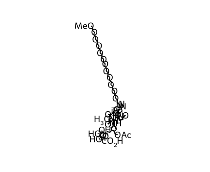 COCCOCCOCCOCCOCCOCOCCOCCOCCOCCOCCOCCn1cc(CC(C(=O)N[C@H](C(=O)N[C@@H](C)C(=O)Nc2ccc(COC(C)=O)c(CC[C@@H]3O[C@H](C(=O)O)[C@@H](O)[C@H](O)[C@H]3O)c2)C(C)C)N2C(=O)C=CC2=O)nn1